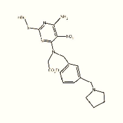 CCCCSc1nc(N)c([N+](=O)[O-])c(N(CC(=O)OCC)Cc2cccc(CN3CCCC3)c2)n1